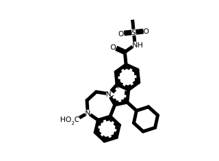 CS(=O)(=O)NC(=O)c1ccc2c(C3CCCCC3)c3n(c2c1)CCN(C(=O)O)c1ccccc1-3